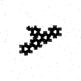 Ic1ccc2c(c1)c1cc(-c3ccccc3)ccc1c1ccc(-c3ccccc3)cc12